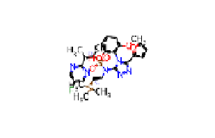 COc1cccc(O)c1-n1c(-c2ccco2)nnc1N(/C=C/S(C)(C)C)S(=O)(=O)/C(C)=C(/C)c1ncc(F)cn1